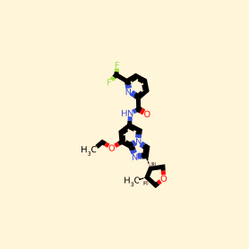 CCOc1cc(NC(=O)c2cccc(C(F)F)n2)cn2cc([C@@H]3COC[C@@H]3C)nc12